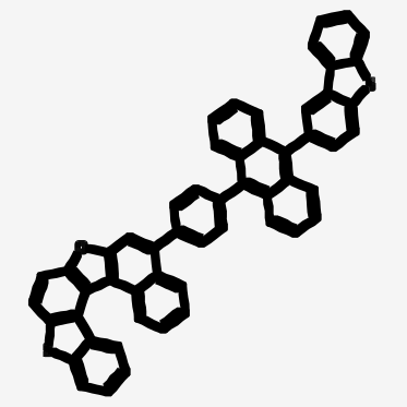 c1ccc2c(c1)sc1ccc(-c3c4ccccc4c(-c4ccc(-c5cc6oc7ccc8sc9ccccc9c8c7c6c6ccccc56)cc4)c4ccccc34)cc12